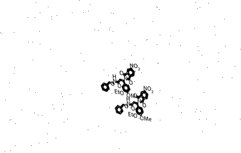 CCOc1cc(C(CC(=O)NOCc2ccccc2)N2C(=O)c3ccc([N+](=O)[O-])cc3C2=O)ccc1OC.CCOc1cc(C(CC(=O)NOCc2ccccc2)N2C(=O)c3ccc([N+](=O)[O-])cc3C2=O)ccc1OC